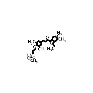 CCc1sc(C(=O)CCc2cc(C)c(OCCCNS(C)(=O)=O)c(C)c2)c2c1CC(C)(C)CC2